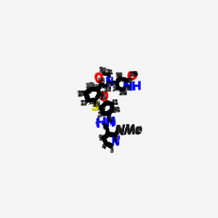 CNc1ncccc1CNc1ccc2c(c1)Sc1cccc(C3CN(c4cc[nH]c(=O)c4)CCO3)c1O2